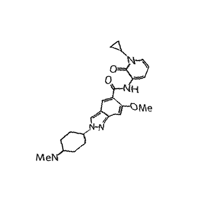 CNC1CCC(n2cc3cc(C(=O)Nc4cccn(C5CC5)c4=O)c(OC)cc3n2)CC1